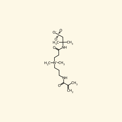 C=C(C)C(=O)NCCC[N+](C)(C)CCC(=O)NC(C)(C)CS(=O)(=O)[O-]